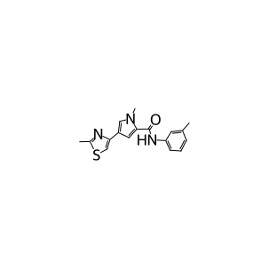 Cc1cccc(NC(=O)c2cc(-c3csc(C)n3)cn2C)c1